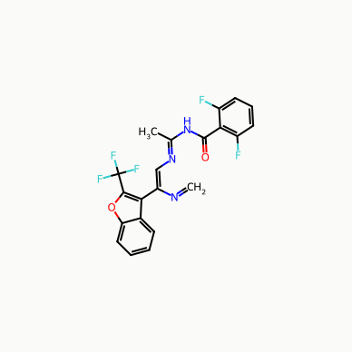 C=N/C(=C\N=C(/C)NC(=O)c1c(F)cccc1F)c1c(C(F)(F)F)oc2ccccc12